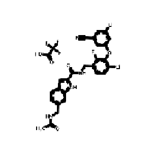 CC(=O)NCc1ccc2cc(C(=O)NCc3ccc(Cl)c(Oc4cc(Cl)cc(C#N)c4)c3F)[nH]c2c1.O=C(O)C(F)(F)F